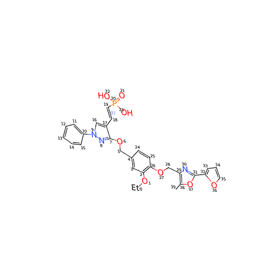 CCOc1cc(COc2nn(-c3ccccc3)cc2/C=C/P(=O)(O)O)ccc1OCc1nc(-c2ccco2)oc1C